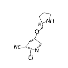 N#Cc1cc(OC[C@H]2CCCN2)cnc1Cl